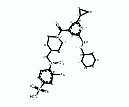 NS(=O)(=O)c1ccc([S+]([O-])CC2CCN(C(=O)c3cc(OOC4CCCCC4)nc(C4CC4)c3)CC2)c(F)c1